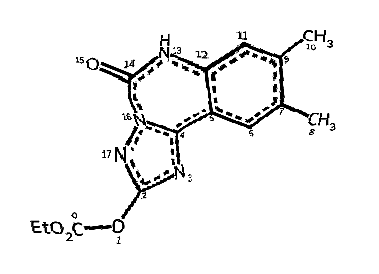 CCOC(=O)Oc1nc2c3cc(C)c(C)cc3[nH]c(=O)n2n1